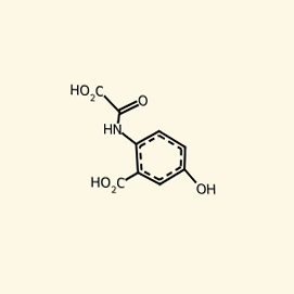 O=C(O)C(=O)Nc1ccc(O)cc1C(=O)O